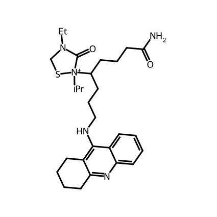 CCN1CS[N+](C(C)C)(C(CCCNc2c3c(nc4ccccc24)CCCC3)CCCC(N)=O)C1=O